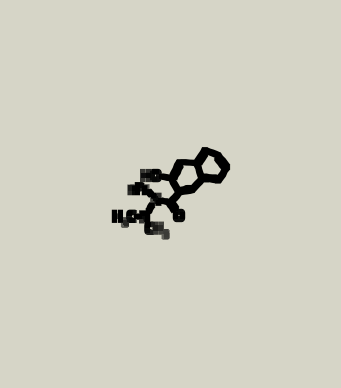 CCCN(C(=O)c1cc2ccccc2cc1O)N(C)C